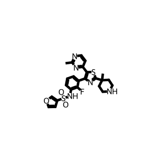 Cc1nccc(-c2sc(C3(C)CCNCC3)nc2-c2cccc(NS(=O)(=O)c3ccoc3)c2F)n1